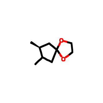 CC1CC2(C[C@@H]1C)OCCO2